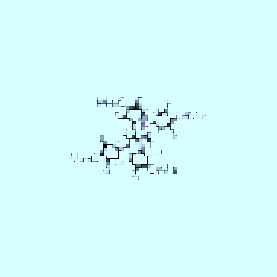 CCC(C(C)C)(C(C)P(c1cc(C)c(OC)c(C)c1)c1cc(C)c(OC)c(C)c1)C(C)P(c1cc(C)c(OC)c(C)c1)c1cc(C)c(OC)c(C)c1